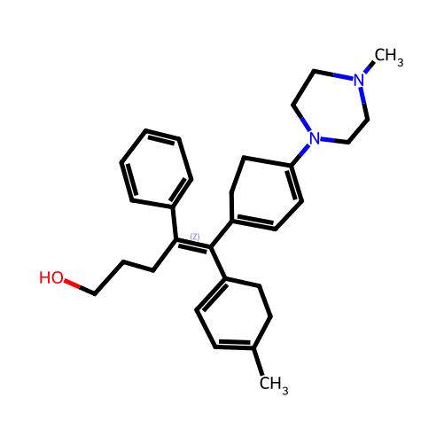 CC1=CC=C(/C(C2=CC=C(N3CCN(C)CC3)CC2)=C(\CCCO)c2ccccc2)CC1